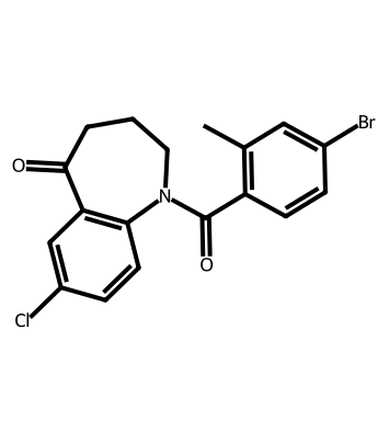 Cc1cc(Br)ccc1C(=O)N1CCCC(=O)c2cc(Cl)ccc21